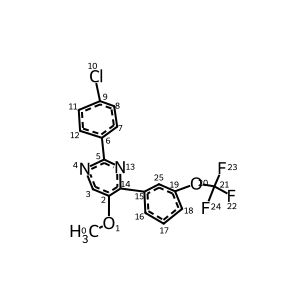 COc1cnc(-c2ccc(Cl)cc2)nc1-c1cccc(OC(F)(F)F)c1